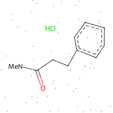 CNC(=O)CCc1ccccc1.Cl